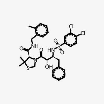 Cc1ccccc1CNC(=O)[C@H]1N(C(=O)[C@@H](O)[C@H](Cc2ccccc2)NS(=O)(=O)c2ccc(Cl)c(Cl)c2)CSC1(C)C